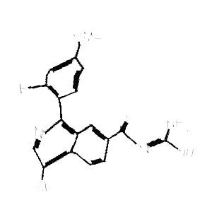 COc1ccc(-c2ncc(Cl)c3ccc(C(=O)N=C(N)N)cc23)c(F)c1